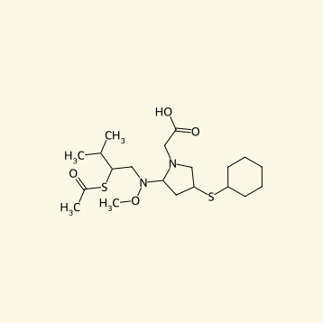 CON(CC(SC(C)=O)C(C)C)C1CC(SC2CCCCC2)CN1CC(=O)O